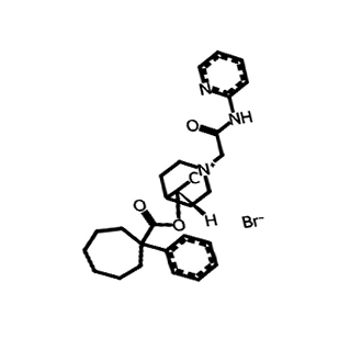 O=C(C[N+]12CCC(CC1)[C@@H](OC(=O)C1(c3ccccc3)CCCCCC1)C2)Nc1ccccn1.[Br-]